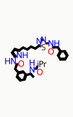 CC(C)C(=O)NC(C)c1cccc(CC(=O)Nc2ccc(CCCCc3nnc(NC(=O)Cc4ccccc4)s3)[nH]2)c1